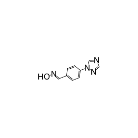 O/N=C/c1ccc(-n2cncn2)cc1